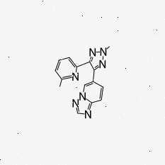 Cc1cccc(-c2nn(C)nc2-c2ccc3ncnn3c2)n1